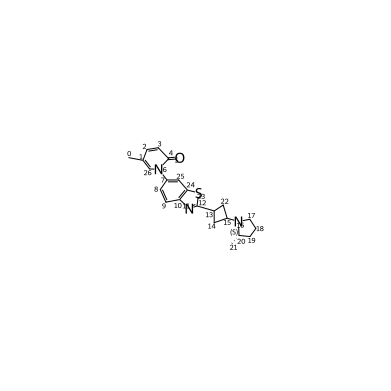 Cc1ccc(=O)n(-c2ccc3nc(C4CC(N5CCC[C@@H]5C)C4)sc3c2)c1